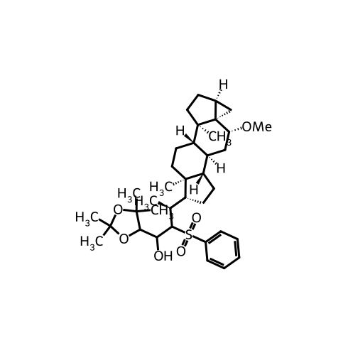 CO[C@@H]1C[C@H]2[C@@H]3CC[C@H]([C@H](C)C(C(O)C4OC(C)(C)OC4(C)C)S(=O)(=O)c4ccccc4)[C@@]3(C)CC[C@@H]2[C@@]2(C)CC[C@H]3C[C@]312